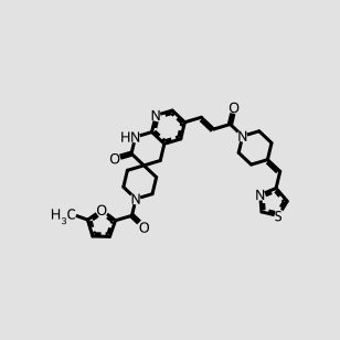 Cc1ccc(C(=O)N2CCC3(CC2)Cc2cc(C=CC(=O)N4CCC(=Cc5cscn5)CC4)cnc2NC3=O)o1